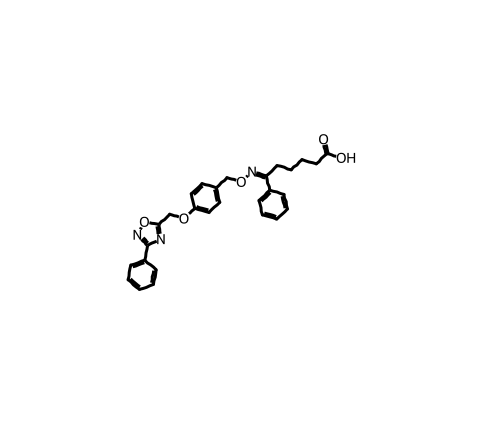 O=C(O)CCCC/C(=N/OCc1ccc(OCc2nc(-c3ccccc3)no2)cc1)c1ccccc1